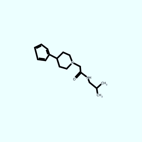 CC(C)CNC(=O)CN1CCC(c2ccccc2)CC1